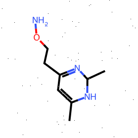 CC1=CC(CCON)=NC(C)N1